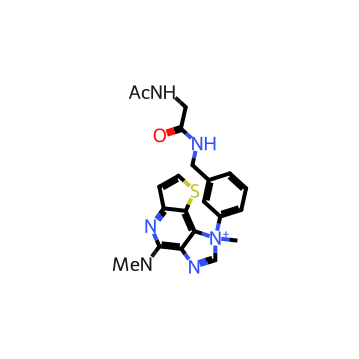 CNc1nc2ccsc2c2c1N=C[N+]2(C)c1cccc(CNC(=O)CNC(C)=O)c1